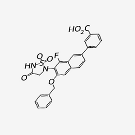 O=C1CN(c2c(OCc3ccccc3)cc3ccc(-c4cccc(C(=O)O)c4)cc3c2F)S(=O)(=O)N1